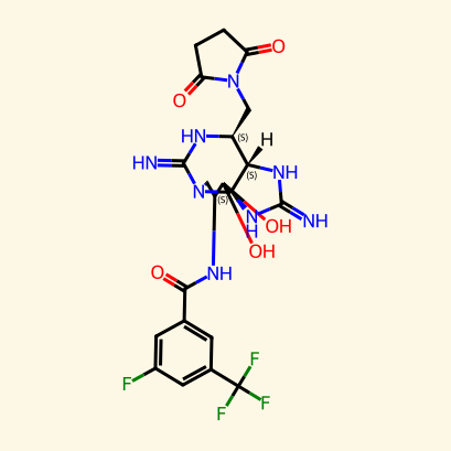 N=C1N[C@H]2[C@H](CN3C(=O)CCC3=O)NC(=N)N3CC(NC(=O)c4cc(F)cc(C(F)(F)F)c4)C(O)(O)[C@]23N1